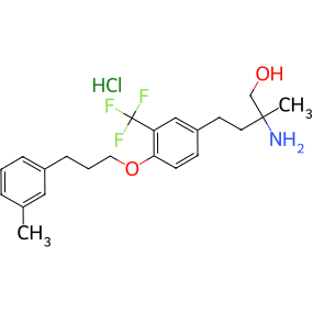 Cc1cccc(CCCOc2ccc(CCC(C)(N)CO)cc2C(F)(F)F)c1.Cl